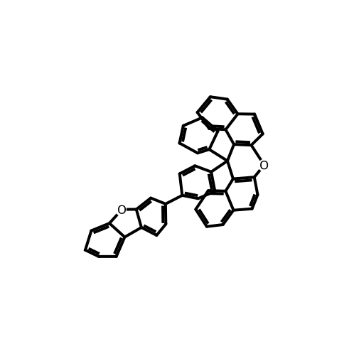 c1ccc(C2(c3ccc(-c4ccc5c(c4)oc4ccccc45)cc3)c3c(ccc4ccccc34)Oc3ccc4ccccc4c32)cc1